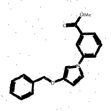 COC(=O)c1cccc(-n2ccc(OCc3ccccc3)c2)c1